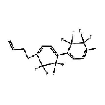 C=CCCC1=CC=C(C2=CC=C(C)C(F)(F)C2(F)F)C(F)(F)C1(F)F